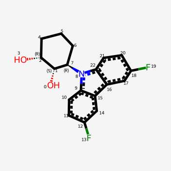 O[C@@H]1[C@H](O)CCC[C@H]1n1c2ccc(F)cc2c2cc(F)ccc21